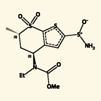 CCN(C(=O)OC)[C@H]1C[C@H](C)S(=O)(=O)c2sc([S+](N)[O-])cc21